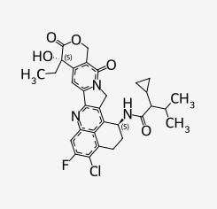 CC[C@@]1(O)C(=O)OCc2c1cc1n(c2=O)Cc2c-1nc1cc(F)c(Cl)c3c1c2[C@@H](NC(=O)C(C(C)C)C1CC1)CC3